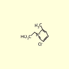 Cc1cccc[n+]1CC(=O)O.[Cl-]